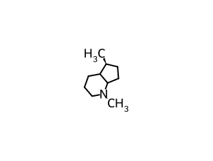 C[C@H]1CCC2C1CCCN2C